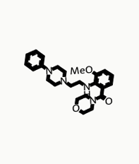 COc1cccc(C(=O)N2CCOCC2)c1NCCN1CCN(c2ccccc2)CC1